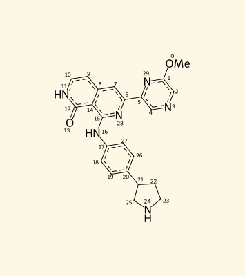 COc1cncc(-c2cc3cc[nH]c(=O)c3c(Nc3ccc(C4CCNC4)cc3)n2)n1